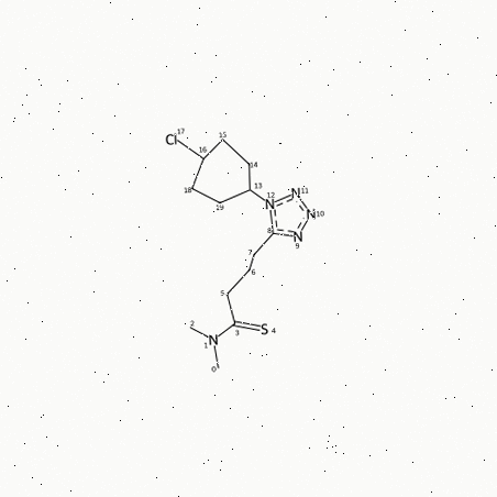 CN(C)C(=S)CCCc1nnnn1C1CCC(Cl)CC1